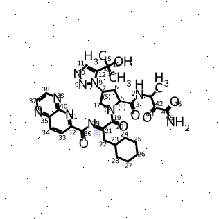 CC(NC(=O)[C@@H]1C[C@H](n2nncc2C(C)(C)O)CN1C(=O)/C(CC1CCCCC1)=N/C(=O)c1ccc2nccnc2n1)C(=O)C(N)=O